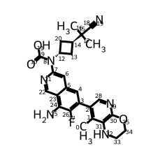 Cc1c(-c2cc3cc(N(C(=O)O)[C@H]4C[C@H](C(C)(C)C#N)C4)ncc3c(N)c2F)cnc2c1NCCO2